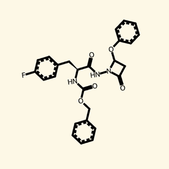 O=C(N[C@@H](Cc1ccc(F)cc1)C(=O)NN1C(=O)CC1Oc1ccccc1)OCc1ccccc1